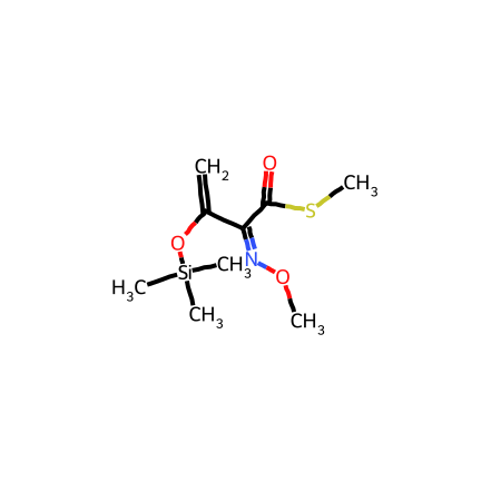 C=C(O[Si](C)(C)C)C(=NOC)C(=O)SC